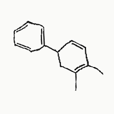 CC1=C(C)CC(c2ccccc2)C=C1